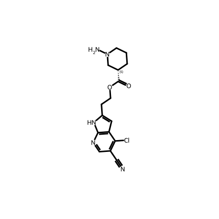 N#Cc1cnc2[nH]c(CCOC(=O)[C@H]3CCCN(N)C3)cc2c1Cl